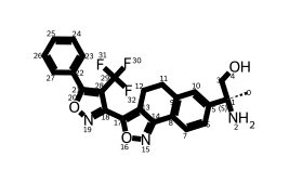 C[C@@](N)(CO)c1ccc2c(c1)CCc1c-2noc1-c1noc(-c2ccccc2)c1C(F)(F)F